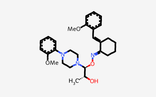 COc1ccccc1/C=C1\CCCC\C1=N/O[C@@H]([C@@H](C)O)N1CCN(c2ccccc2OC)CC1